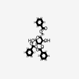 O=C(OC[C@H]1O[C@@H](O)[C@H](OC(=O)c2ccccc2)[C@@H](OC(=O)c2ccccc2)[C@H]1O)c1ccccc1